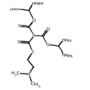 CCCCCCC(CCCCCC)OC(=O)N(C(=O)OC(CCCCCC)CCCCCC)C(=O)SCCN(C)C